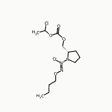 CCCCO/N=[N+](\[O-])N1CCC[C@H]1COC(=O)OC(C)Cl